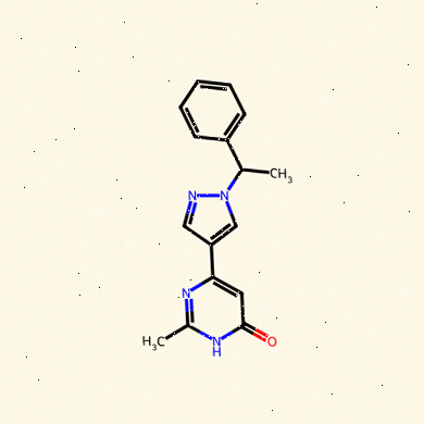 Cc1nc(-c2cnn(C(C)c3ccccc3)c2)cc(=O)[nH]1